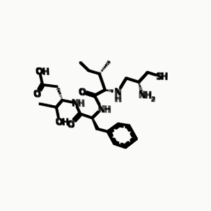 CC[C@H](C)[C@H](NC[C@@H](N)CS)C(=O)N[C@@H](Cc1ccccc1)C(=O)N[C@@H](CC(=O)O)C(C)O